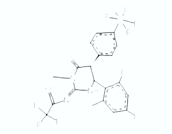 CN1C(=O)[C@@H](c2ccc(S(F)(F)(F)(F)F)cc2)[C@@](C)(c2c(F)cc(F)cc2F)N/C1=N/C(=O)C(F)(F)F